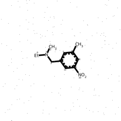 CCN(C)Cc1cc(C)cc([N+](=O)[O-])c1